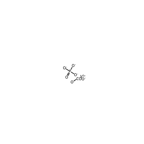 O=C([O-])[O-].O=P([O-])([O-])[O-].[V+5]